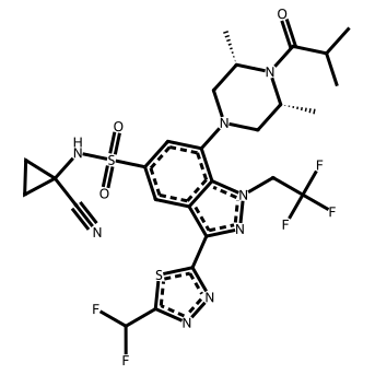 CC(C)C(=O)N1[C@H](C)CN(c2cc(S(=O)(=O)NC3(C#N)CC3)cc3c(-c4nnc(C(F)F)s4)nn(CC(F)(F)F)c23)C[C@@H]1C